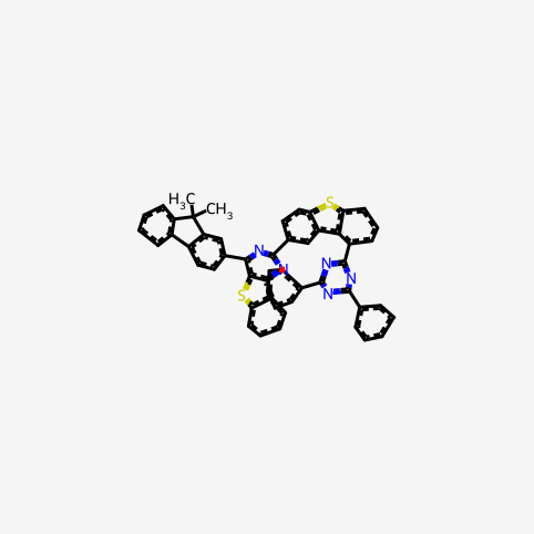 CC1(C)c2ccccc2-c2ccc(-c3nc(-c4ccc5sc6cccc(-c7nc(-c8ccccc8)nc(-c8ccccc8)n7)c6c5c4)nc4c3sc3ccccc34)cc21